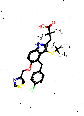 CC(C)(C)Sc1c(CC(C)(C)C(=O)O)[nH]c2ccc(OCc3cscn3)c(Cc3ccc(Cl)cc3)c12